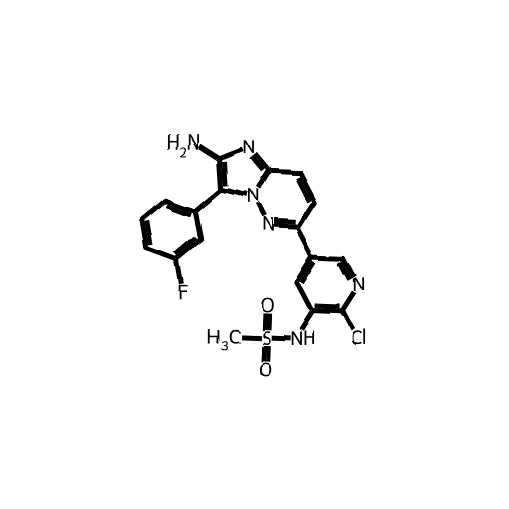 CS(=O)(=O)Nc1cc(-c2ccc3nc(N)c(-c4cccc(F)c4)n3n2)cnc1Cl